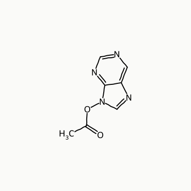 CC(=O)On1cnc2cncnc21